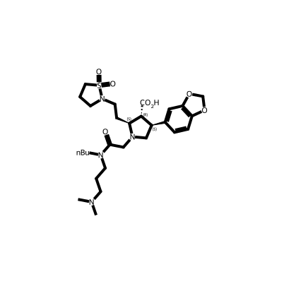 CCCCN(CCCN(C)C)C(=O)CN1C[C@H](c2ccc3c(c2)OCO3)[C@@H](C(=O)O)[C@@H]1CCN1CCCS1(=O)=O